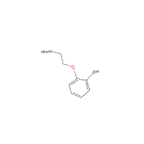 [CH]c1ccccc1OCCCCCCC